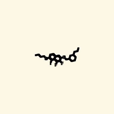 CCCCOc1ccc2cc(OCC3CCCC(CCC)C3)c(F)c(F)c2c1I